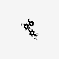 CCc1ccccc1-c1cc(Br)ccc1OCc1ccc(C(=O)OC)cc1